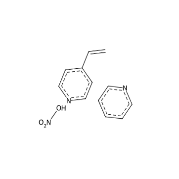 C=Cc1ccncc1.O=[N+]([O-])O.c1ccncc1